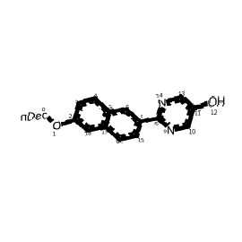 CCCCCCCCCCOc1ccc2cc(-c3ncc(O)cn3)ccc2c1